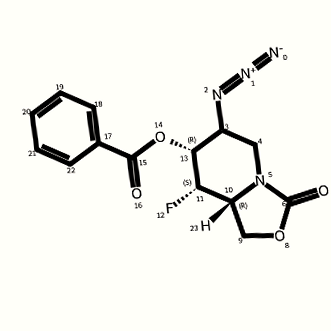 [N-]=[N+]=NC1CN2C(=O)OC[C@@H]2[C@H](F)[C@@H]1OC(=O)c1ccccc1